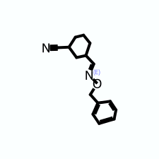 N#CC1CCCC(/C=N/OCc2ccccc2)C1